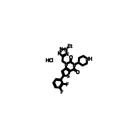 CCn1nnc(Cn2c(=O)n(C3CCNCC3)c(=O)c3sc(-c4cccc(F)c4F)cc32)n1.Cl